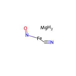 N#[C][Fe][N]=O.[MgH2]